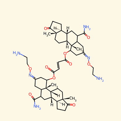 C[C@]12C(OC(=O)/C=C/C(=O)OC3CC(=NOCCN)CC4C(C(N)=O)C[C@@H]5[C@@H](CC[C@]6(C)C(=O)CC[C@@H]56)[C@@]34C)CC(=NOCCN)CC1C(C(N)=O)C[C@@H]1[C@H]2CC[C@]2(C)C(=O)CC[C@@H]12